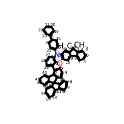 CC1(C)c2ccccc2-c2ccc(N(c3ccc(-c4ccccc4)cc3)c3cccc4c3oc3ccc5c(c34)-c3ccccc3C53c4ccccc4-c4ccccc43)cc21